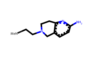 CNCCN1CCc2nc(N)ccc2C1